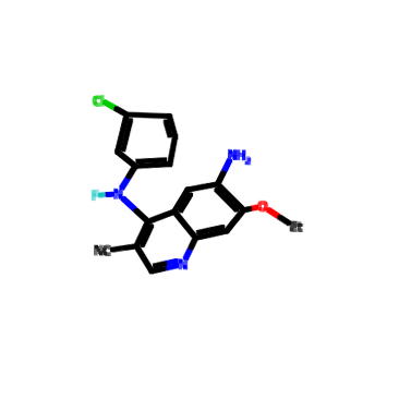 CCOc1cc2ncc(C#N)c(N(F)c3cccc(Cl)c3)c2cc1N